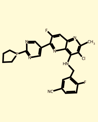 Cc1nc2cc(F)c(-c3cnc(P4CCCC4)nc3)nc2c(NCc2cc(C#N)ccc2F)c1Cl